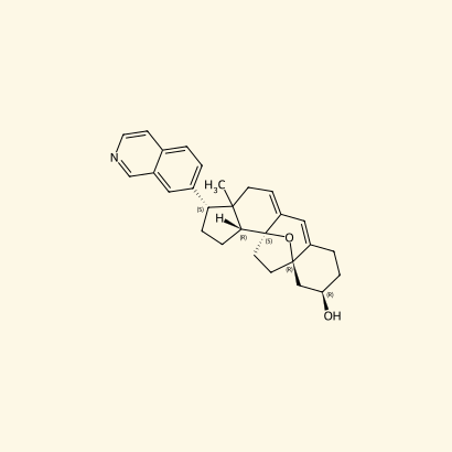 CC12CC=C3C=C4CC[C@@H](O)C[C@]45CC[C@]3(O5)[C@@H]1CC[C@@H]2c1ccc2ccncc2c1